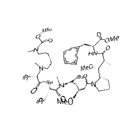 CC[C@H](C)[C@@H]([C@@H](CC(=O)N1CCC[C@H]1[C@H](OC)[C@@H](C)C(=O)N[C@@H](Cc1ccccc1)C(=O)OC)OC)N(C)C(=O)[C@@H](NC(=O)[C@H](C(C)C)N(C)CCCCN(C)C(=O)OC(C)(C)C)C(C)C